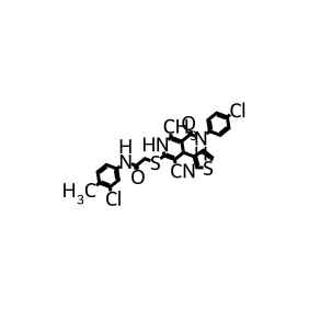 CC1=C(C(=O)Nc2ccc(Cl)cc2)C(c2ccsc2)C(C#N)=C(SCC(=O)Nc2ccc(C)c(Cl)c2)N1